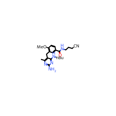 CCCCNc1nc(N)nc(C)c1Cc1cc(C(=O)NCCCC#N)ccc1OC